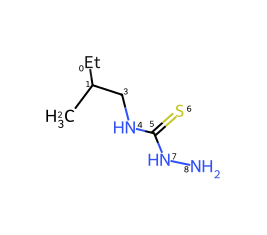 CCC(C)CNC(=S)NN